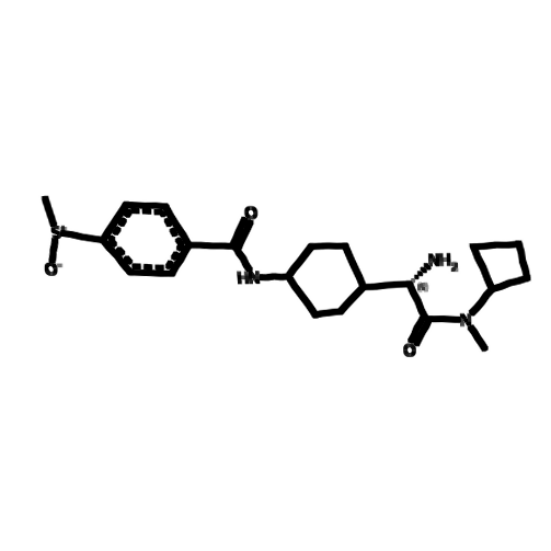 CN(C(=O)[C@@H](N)C1CCC(NC(=O)c2ccc([S+](C)[O-])cc2)CC1)C1CCC1